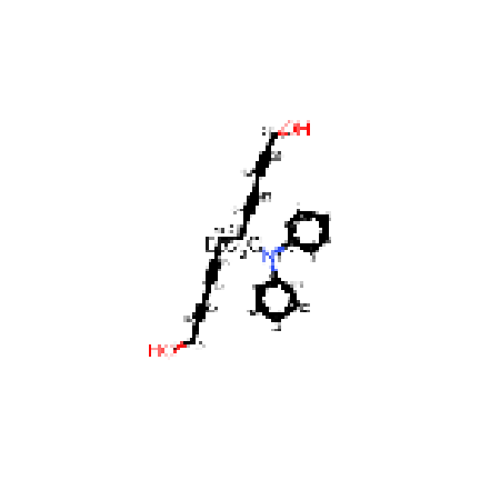 CCOC(=O)N(c1ccccc1)c1ccccc1.OCC#CC#CCCC#CC#CCO